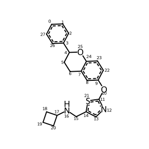 c1ccc(C2CCc3cc(Oc4ncc(CNC5CCC5)s4)ccc3O2)cc1